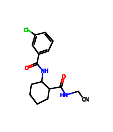 N#CCNC(=O)C1CCCCC1NC(=O)c1cccc(Cl)c1